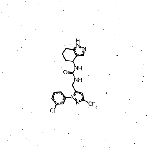 O=C(NCc1cc(C(F)(F)F)nn1-c1cccc(Cl)c1)NC1CCCc2[nH]ncc21